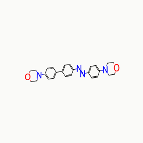 c1cc(-c2ccc(N3CCOCC3)cc2)ccc1N=Nc1ccc(N2CCOCC2)cc1